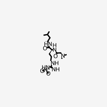 CC(C)C[CH]NC(=O)[C@H](CCCNC(=N)N[N+](=O)[O-])NC(=O)CN(C)C